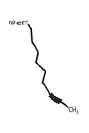 [CH2]CCCCCCCCCCC#CC